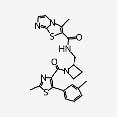 Cc1cccc(-c2sc(C)nc2C(=O)N2CC[C@@H]2CNC(=O)c2sc3nccn3c2C)c1